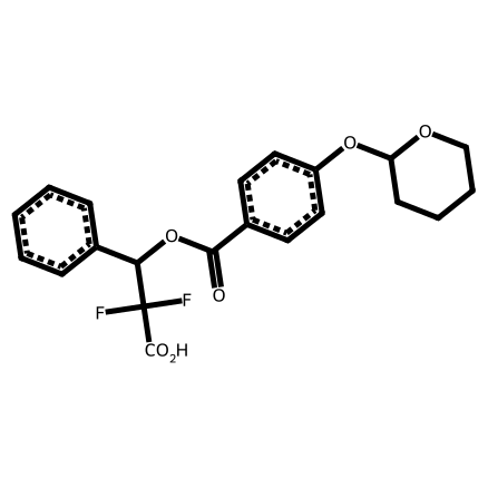 O=C(OC(c1ccccc1)C(F)(F)C(=O)O)c1ccc(OC2CCCCO2)cc1